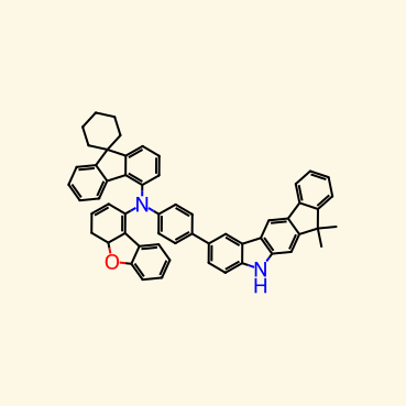 CC1(C)c2ccccc2-c2cc3c(cc21)[nH]c1ccc(-c2ccc(N(C4=C5c6ccccc6OC5CC=C4)c4cccc5c4-c4ccccc4C54CCCCC4)cc2)cc13